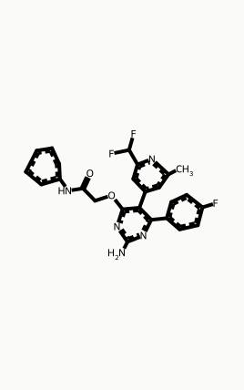 Cc1cc(-c2c(OCC(=O)Nc3ccccc3)nc(N)nc2-c2ccc(F)cc2)cc(C(F)F)n1